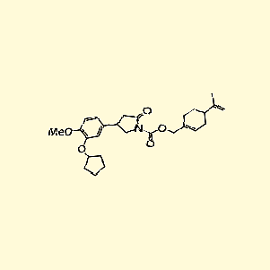 C=C(C)C1CC=C(COC(=O)N2CC(c3ccc(OC)c(OC4CCCC4)c3)CC2=O)CC1